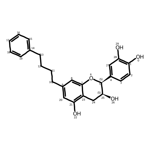 Oc1ccc([C@@H]2Oc3cc([CH]CC[CH]c4ccccc4)cc(O)c3C[C@@H]2O)cc1O